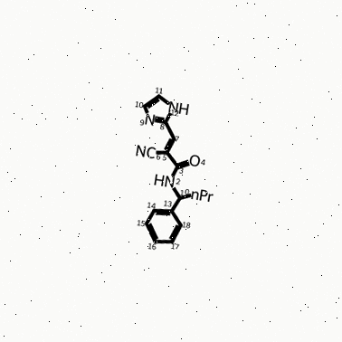 CCCC(NC(=O)/C(C#N)=C/c1ncc[nH]1)c1ccccc1